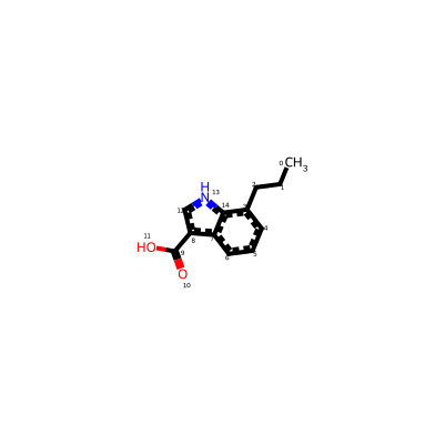 CCCc1cccc2c(C(=O)O)c[nH]c12